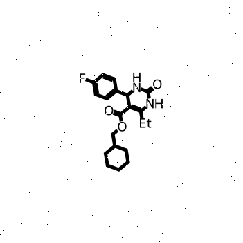 CCC1=C(C(=O)OCC2CCCCC2)C(c2ccc(F)cc2)NC(=O)N1